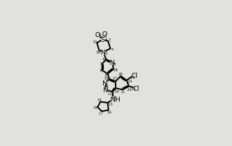 O=S1(=O)CCN(c2ccc(-c3nnc(NC4CCCC4)c4cc(Cl)c(Cl)cc34)cn2)CC1